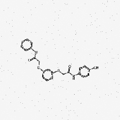 O=C(COc1cccc(OCC(=O)Nc2ccc(O)cc2)c1)Nc1ccccc1